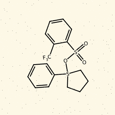 O=S(=O)(OS1(c2ccccc2)CCCC1)c1ccccc1C(F)(F)F